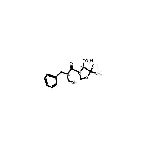 CC1(C)SCN(C(=O)[C@@H](CS)Cc2ccccc2)[C@H]1C(=O)O